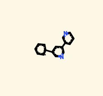 [c]1ccccc1-c1cncc(-c2cccnc2)c1